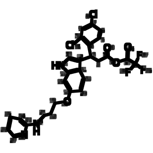 O=C(CC(c1ccc(Cl)cc1Cl)c1c[nH]c2cc(OCCCNc3ccccn3)ccc12)OC(=O)C(F)(F)F